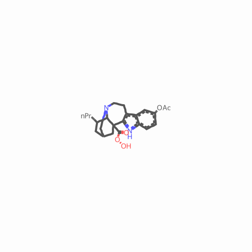 CCCC1CC2CN3CCc4c([nH]c5ccc(OC(C)=O)cc45)C(C(=O)OO)(C2)C13